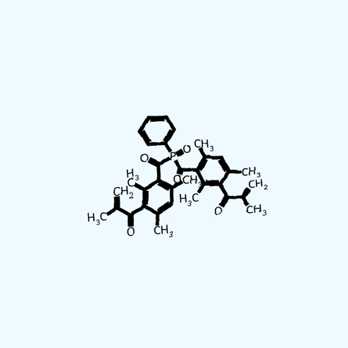 C=C(C)C(=O)c1c(C)cc(C)c(C(=O)P(=O)(C(=O)c2c(C)cc(C)c(C(=O)C(=C)C)c2C)c2ccccc2)c1C